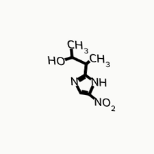 CC(O)C(C)c1ncc([N+](=O)[O-])[nH]1